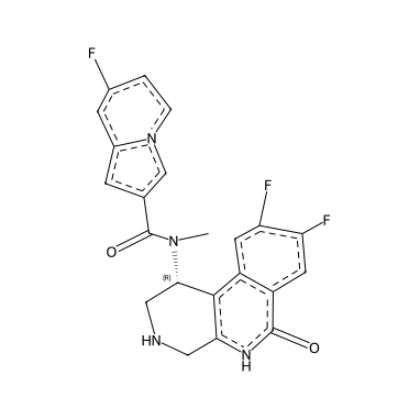 CN(C(=O)c1cc2cc(F)ccn2c1)[C@H]1CNCc2[nH]c(=O)c3cc(F)c(F)cc3c21